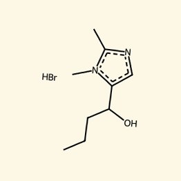 Br.CCCC(O)c1cnc(C)n1C